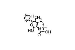 CC(Sc1ncn[nH]1)C1=C(C(=O)O)N2C(=O)[C@@H](O)[C@@H]2SC1